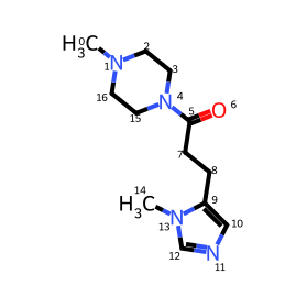 CN1CCN(C(=O)CCc2cncn2C)CC1